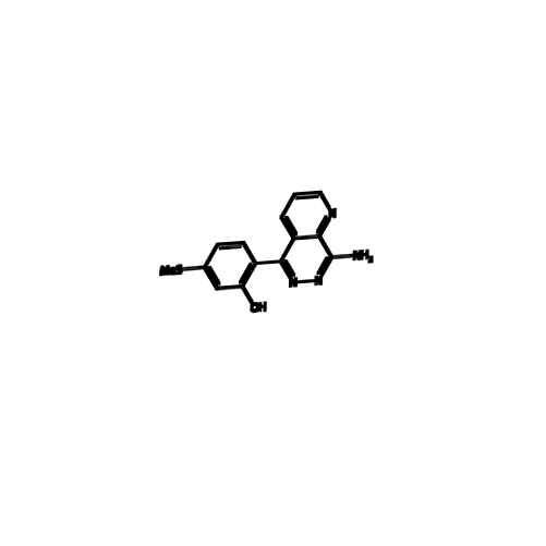 CSc1ccc(-c2nnc(N)c3ncccc23)c(O)c1